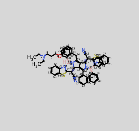 CCN(CC)CCCOc1cccc(Cc2c3/c(=C(\C#N)c4nc5ccccc5s4)n(B(c4ccccc4)c4ccccc4)c(-c4ccccc4C)c3/c(=C(\C#N)c3nc4ccccc4s3)n2Bc2ccccc2)c1